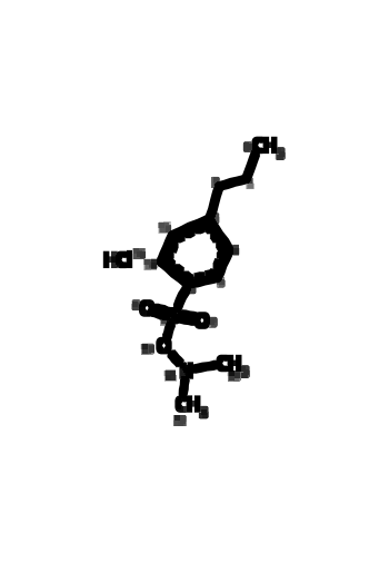 CCCc1ccc(S(=O)(=O)ON(C)C)cc1.Cl